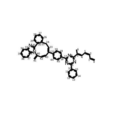 C=C/C=C\C=C(/C)c1nc(-c2ccccc2)nc(-c2ccc(C3=C/Cc4ccccc4-c4nc5ccccc5n4C(=C)/C=C\3)cc2)n1